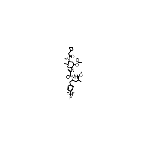 COC(=O)C(C)CC(Cc1ccc(C(F)(F)F)cc1)NC(=O)c1csc(C(CC(C(C)C)N(C)C(=O)CC2CCC2)OC(C)=O)n1